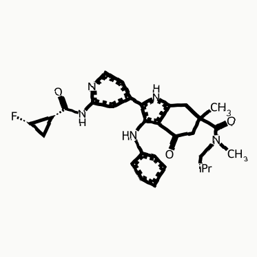 CC(C)CN(C)C(=O)C1(C)CC(=O)c2c([nH]c(-c3ccnc(NC(=O)[C@@H]4C[C@@H]4F)c3)c2Nc2ccccc2)C1